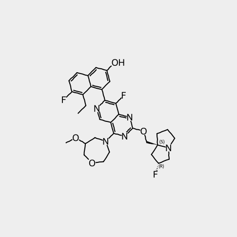 CCc1c(F)ccc2cc(O)cc(-c3ncc4c(N5CCOCC(OC)C5)nc(OC[C@@]56CCCN5C[C@H](F)C6)nc4c3F)c12